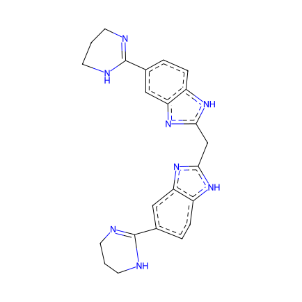 c1cc2[nH]c(Cc3nc4cc(C5=NCCCN5)ccc4[nH]3)nc2cc1C1=NCCCN1